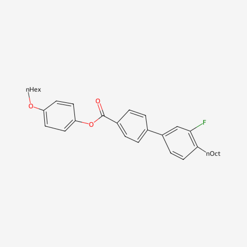 CCCCCCCCc1ccc(-c2ccc(C(=O)Oc3ccc(OCCCCCC)cc3)cc2)cc1F